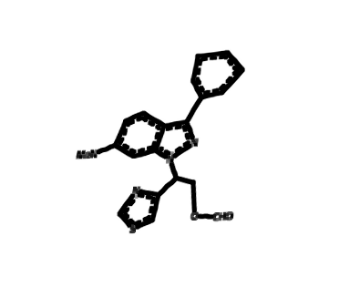 CNc1ccc2c(-c3ccccc3)nn(C(COC=O)c3cscn3)c2c1